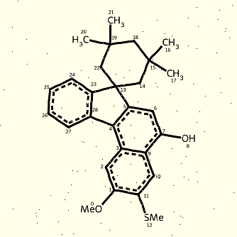 COc1cc2c3c(cc(O)c2cc1SC)C1(CC(C)(C)CC(C)(C)C1)c1ccccc1-3